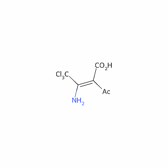 CC(=O)C(C(=O)O)=C(N)C(Cl)(Cl)Cl